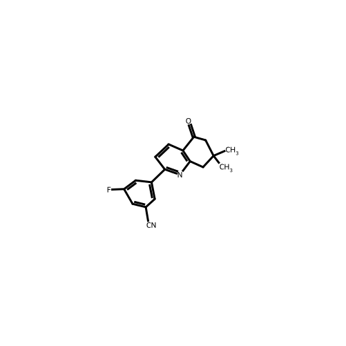 CC1(C)CC(=O)c2ccc(-c3cc(F)cc(C#N)c3)nc2C1